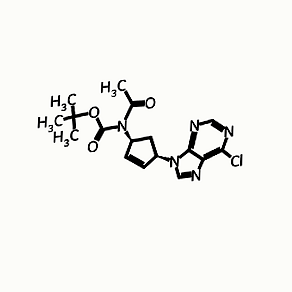 CC(=O)N(C(=O)OC(C)(C)C)[C@@H]1C=C[C@H](n2cnc3c(Cl)ncnc32)C1